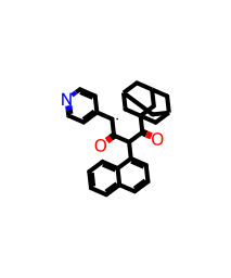 O=C([CH]c1ccncc1)C(C(=O)C12CC3CC(CC(C3)C1)C2)c1cccc2ccccc12